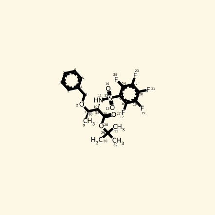 C[C@@H](OCc1ccccc1)[C@H](NS(=O)(=O)c1c(F)c(F)c(F)c(F)c1F)C(=O)OC(C)(C)C